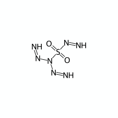 N=NN(N=N)S(=O)(=O)N=N